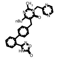 CCCCc1nc(C)n(Cc2cnccn2)c(=O)c1Cc1ccc(-c2ccccc2-c2noc(=O)[nH]2)cc1